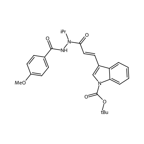 COc1ccc(C(=O)NN(C(=O)C=Cc2cn(C(=O)OC(C)(C)C)c3ccccc23)C(C)C)cc1